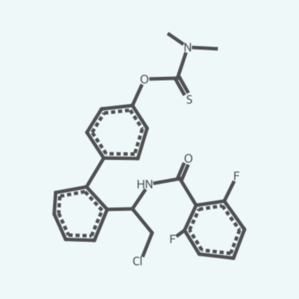 CN(C)C(=S)Oc1ccc(-c2ccccc2C(CCl)NC(=O)c2c(F)cccc2F)cc1